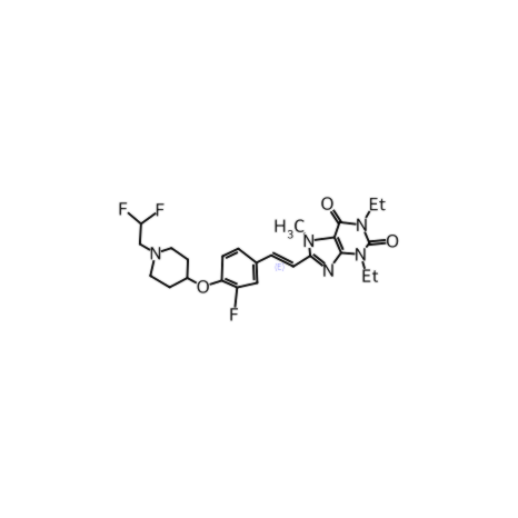 CCn1c(=O)c2c(nc(/C=C/c3ccc(OC4CCN(CC(F)F)CC4)c(F)c3)n2C)n(CC)c1=O